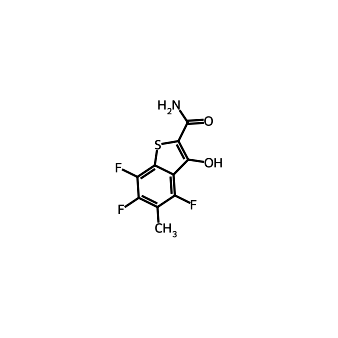 Cc1c(F)c(F)c2sc(C(N)=O)c(O)c2c1F